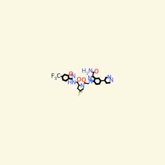 NC(=O)c1nn(CC(=O)N2C[C@H](F)CC2C(=O)Nc2noc3cc(C(F)(F)F)ccc23)c2ccc(-c3ccnnc3)cc12